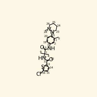 Cc1cc(NC(=O)C(C)(C)NC(=O)c2ccc(Cl)s2)ccc1N1CCCCN1C